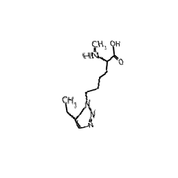 CCc1cnnn1CCCCC(NC)C(=O)O